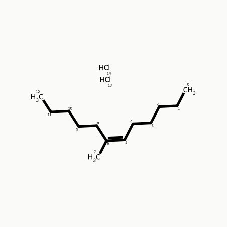 CCCCCC=C(C)CCCCC.Cl.Cl